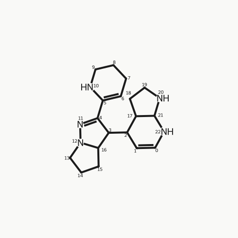 C1=CC(C2C(C3=CCCCN3)=NN3CCCC23)C2CCNC2N1